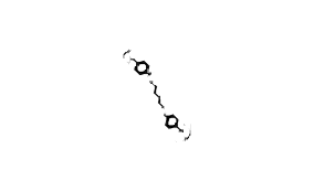 c1cc(C2=NCCO2)ccc1OCCCCCCOc1ccc(C2=NCCO2)cc1